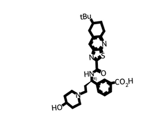 CC(C)(C)C1CCc2nc3sc(C(=O)N[C@H](CCN4CCC(O)CC4)c4cccc(C(=O)O)c4)nc3cc2C1